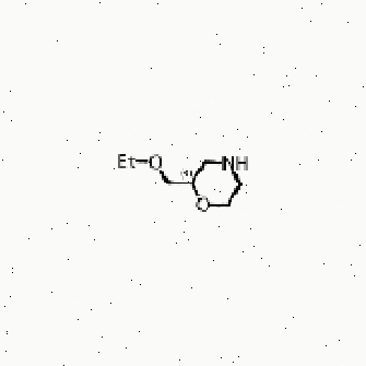 CCOC[C@H]1CNCCO1